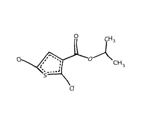 CC(C)OC(=O)c1cc(Cl)sc1Cl